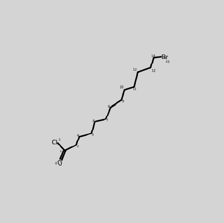 O=C(Cl)CCCCCCCCCCCCBr